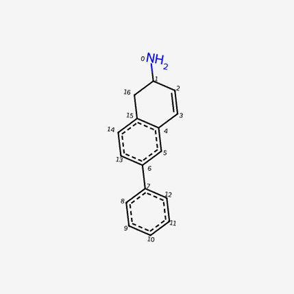 NC1C=Cc2cc(-c3ccccc3)ccc2C1